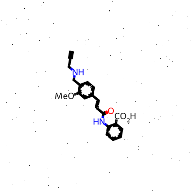 C#CCNCc1ccc(C=CC(=O)Nc2ccccc2C(=O)O)cc1OC